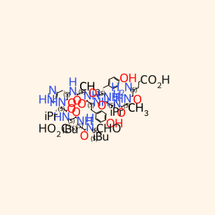 CC[C@H](C)[C@H](NC(=O)[C@H](CC(=O)O)NC(=O)[C@H](CC(C)C)NC(=O)[C@H](Cc1c[nH]cn1)NC(=O)[C@H](C)NC(=O)[C@H](Cc1ccc(O)cc1)NC(=O)[C@H](Cc1ccc(O)cc1)NC(=O)[C@@H](NC(=O)[C@H](C)NC(=O)[C@@H](N)CCC(=O)O)C(C)C)C(=O)N[C@H]([C]=O)[C@@H](C)CC